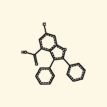 O=C(O)c1cc(Cl)cc2oc(-c3ccccc3)c(-c3ccccc3)c12